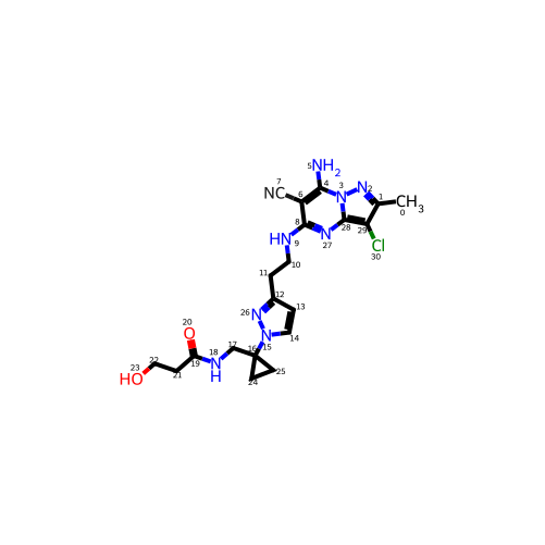 Cc1nn2c(N)c(C#N)c(NCCc3ccn(C4(CNC(=O)CCO)CC4)n3)nc2c1Cl